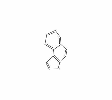 [C]1C=Cc2c1ccc1ccccc21